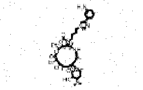 CC[C@H]1C(=O)O[C@H](CC)[C@@]2(C)OC(=O)N(CCCCn3cc(-c4cccc(N)c4)nn3)[C@@H]2[C@@H](C)NC[C@H](C)C[C@@](C)(OC)[C@H](O[C@@H]2O[C@H](C)CC(N(C)C)C2O)[C@@H](C)C1=O